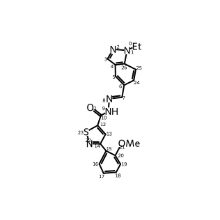 CCn1ncc2cc(C=NNC(=O)c3cc(-c4ccccc4OC)ns3)ccc21